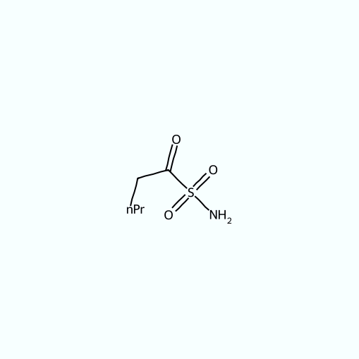 CCCCC(=O)S(N)(=O)=O